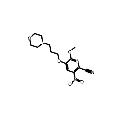 COc1nc(C#N)c([N+](=O)[O-])cc1OCCCN1CCOCC1